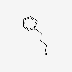 OCCC[n+]1ccccc1